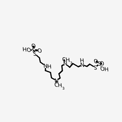 CN(CCCCN(C)CCCNCCSS(=O)(=O)O)CCCNCCSS(=O)(=O)O